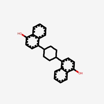 Oc1ccc(C2CCC(c3ccc(O)c4ccccc34)CC2)c2ccccc12